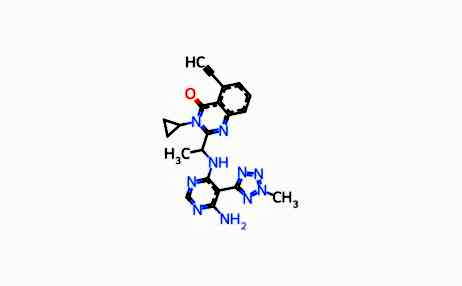 C#Cc1cccc2nc(C(C)Nc3ncnc(N)c3-c3nnn(C)n3)n(C3CC3)c(=O)c12